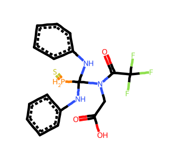 O=C(O)CN(C(=O)C(F)(F)F)C(Nc1ccccc1)(Nc1ccccc1)[PH2]=S